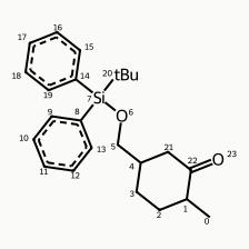 CC1CCC(CO[Si](c2ccccc2)(c2ccccc2)C(C)(C)C)CC1=O